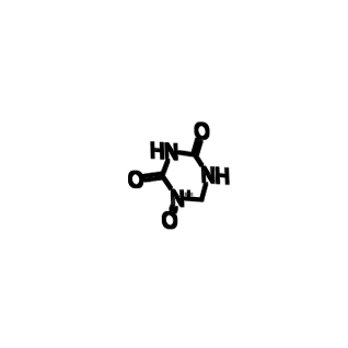 O=C1NC[N+](=O)C(=O)N1